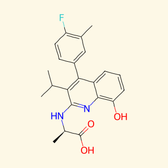 Cc1cc(-c2c(C(C)C)c(N[C@H](C)C(=O)O)nc3c(O)cccc23)ccc1F